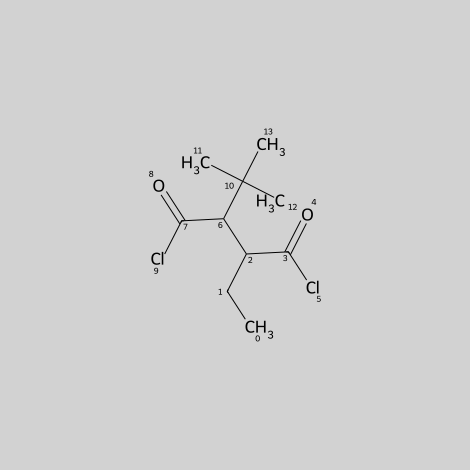 CCC(C(=O)Cl)C(C(=O)Cl)C(C)(C)C